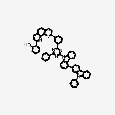 Oc1ccccc1-c1ccc2ccc3ccc(-c4cccc(-c5nc(-c6ccccc6)nc(-n6c7ccccc7c7c(-c8ccc9c%10ccccc%10n(-c%10ccccc%10)c9c8)cccc76)n5)c4)nc3c2n1